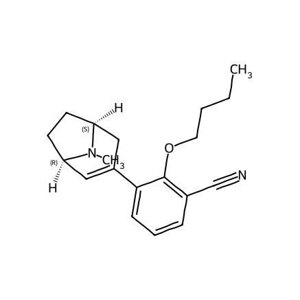 CCCCOc1c(C#N)cccc1C1=C[C@H]2CC[C@@H](C1)N2C